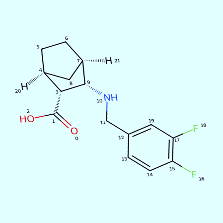 O=C(O)[C@@H]1[C@H]2CC[C@H](C2)[C@@H]1NCc1ccc(F)c(F)c1